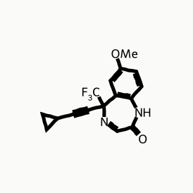 COc1ccc2c(c1)C(C#CC1CC1)(C(F)(F)F)N=CC(=O)N2